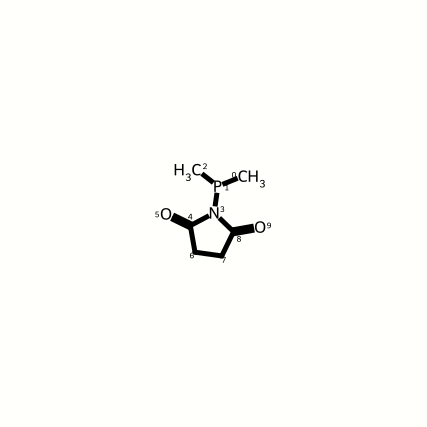 CP(C)N1C(=O)CCC1=O